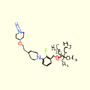 C=[Si](OCc1cccc(N2CCC(CCOC3CCNCC3)CC2)c1F)C(C)(C)C